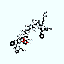 CC(C)C[C@H](NC(=O)[C@H](CCCCNN=[N+]=[N-])NC(=O)[C@H](Cc1ccccc1)NC(=O)CNO)C(=O)N(C)[C@@H](C)C(=O)N(C)[C@@H](CC(C)C)C(=O)N[C@@H](C)C(=O)N(C)[C@@H](Cc1ccccc1)C(=O)N(C)[C@@H](C)C(=O)N[C@@H](C)C(=O)N[C@@H](Cc1ccccc1)C(=O)N[C@@H](CSSC(C)(C)C)C(=O)N1CCC[C@H]1C(=O)O